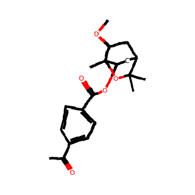 COC1CC2CC(OC(=O)c3ccc(C(C)=O)cc3)C1(C)OC2(C)C